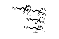 CC(N)([O-])CCN.CC(N)([O-])CCN.CC(N)([O-])CCN.CC(N)([O-])CCN.[Ti+4]